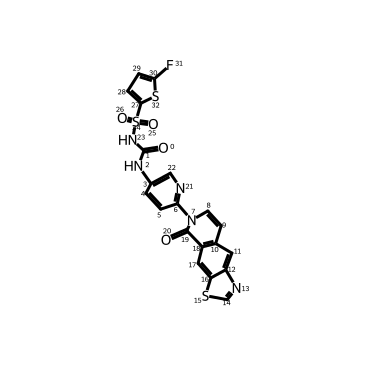 O=C(Nc1ccc(-n2ccc3cc4ncsc4cc3c2=O)nc1)NS(=O)(=O)c1ccc(F)s1